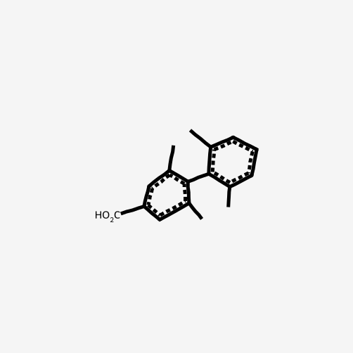 Cc1cccc(C)c1-c1c(C)cc(C(=O)O)cc1C